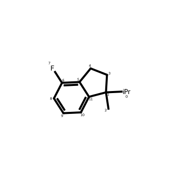 CC(C)C1(C)CCc2c(F)cccc21